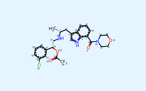 C[C@H](Cc1c[nH]c2c(C(=O)N3CCOCC3)cccc12)NC[C@H](OC(=O)C(F)(F)F)c1cccc(Cl)c1